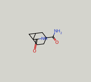 NC(=O)C12CCC3(CC3C1)C(=O)N2